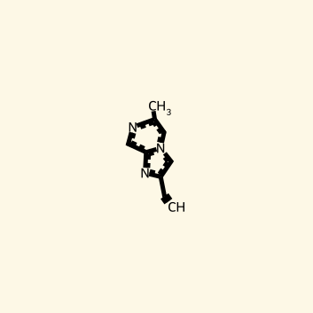 C#Cc1cn2cc(C)ncc2n1